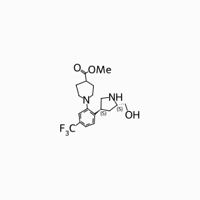 COC(=O)C1CCN(c2cc(C(F)(F)F)ccc2[C@H]2CN[C@H](CO)C2)CC1